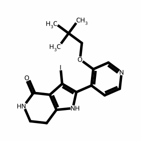 CC(C)(C)COc1cnccc1-c1[nH]c2c(c1I)C(=O)NCC2